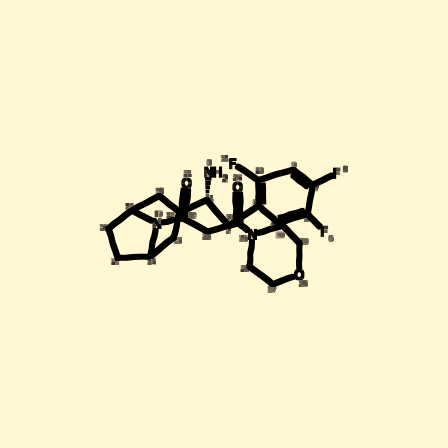 N[C@H](Cc1cc(F)c(F)cc1F)C1CC2CCC(C1)N2C(=O)CC(=O)N1CCOCC1